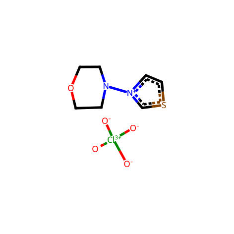 [O-][Cl+3]([O-])([O-])[O-].c1c[n+](N2CCOCC2)cs1